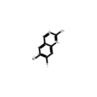 Fc1cc2nc(Cl)ncc2cc1Br